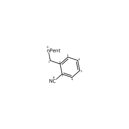 CCCCCCc1ccccc1C#N